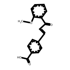 COc1ccccc1C(=O)C=Cc1ccc(C(=O)O)cc1